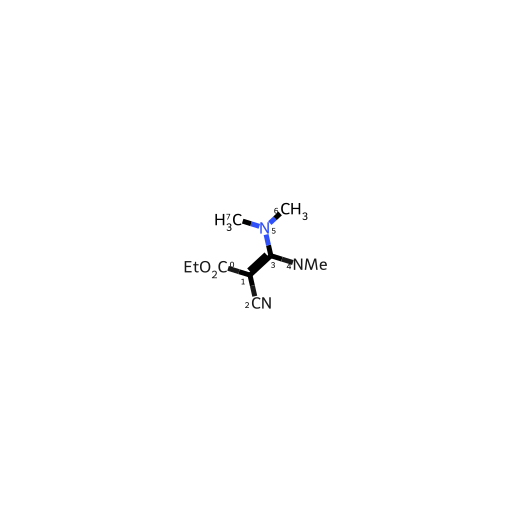 CCOC(=O)C(C#N)=C(NC)N(C)C